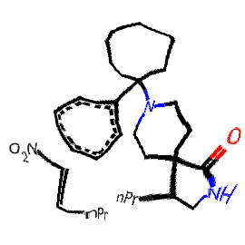 CCC/C=C/[N+](=O)[O-].CCCC1CNC(=O)C12CCN(C1(c3ccccc3)CCCCC1)CC2